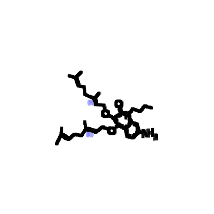 CCCCn1c(=O)c(OC/C=C(\C)CCC=C(C)C)c(OC/C=C(\C)CCC=C(C)C)c2ccc(N)cc21